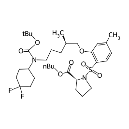 CCCCOC(=O)[C@@H]1CCCN1S(=O)(=O)c1ccc(C)cc1OC[C@H](C)CCCN(C(=O)OC(C)(C)C)C1CCC(F)(F)CC1